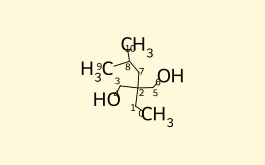 CCC(CO)(CO)CC(C)C